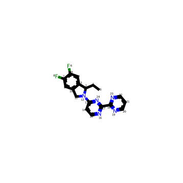 CCC1c2cc(F)c(F)cc2CN1c1ccnc(-c2ncccn2)n1